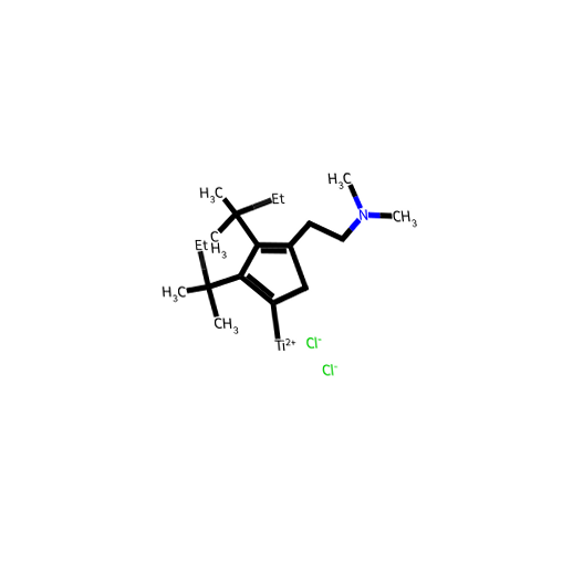 CCC(C)(C)C1=[C]([Ti+2])CC(CCN(C)C)=C1C(C)(C)CC.[Cl-].[Cl-]